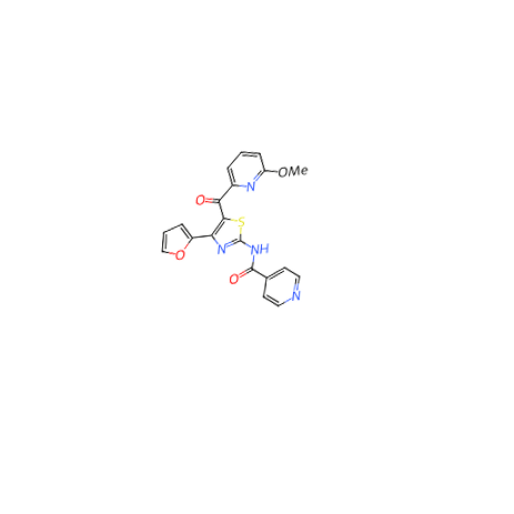 COc1cccc(C(=O)c2sc(NC(=O)c3ccncc3)nc2-c2ccco2)n1